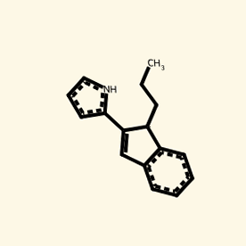 CCC[C]1C(c2ccc[nH]2)=Cc2ccccc21